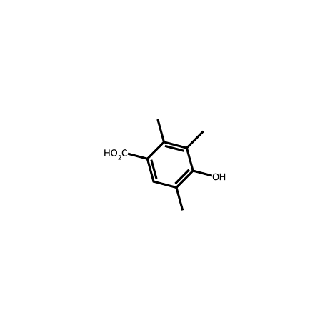 Cc1cc(C(=O)O)c(C)c(C)c1O